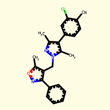 Cc1nn(Cc2c(-c3ccccc3)noc2C)c(C)c1-c1ccc(C#N)c(Cl)c1